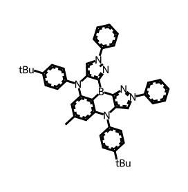 Cc1cc2c3c(c1)N(c1ccc(C(C)(C)C)cc1)c1cn(-c4ccccc4)nc1B3c1nn(-c3ccccc3)cc1N2c1ccc(C(C)(C)C)cc1